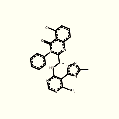 Cc1noc(-c2c(N)ncnc2N[C@@H](C)c2nc3cccc(Cl)c3c(=O)n2-c2ccccc2)n1